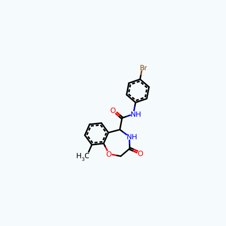 Cc1cccc2c1OCC(=O)NC2C(=O)Nc1ccc(Br)cc1